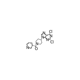 O=C(c1cccnc1)N1CCC(n2cnc3c(Cl)nc(Cl)nc32)CC1